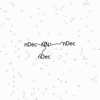 CCCCCCCCCCCCCCCC[n+]1ccn(CCCCCCCCCCCC)c1CCCCCCCCCCCCCC